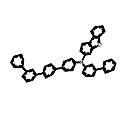 c1ccc(-c2cccc(-c3ccc(-c4ccc(N(c5cccc(-c6ccccc6)c5)c5ccc6c(c5)oc5ccccc56)cc4)cc3)c2)cc1